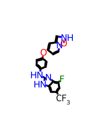 Fc1cc(C(F)(F)F)cc2[nH]c(Nc3ccc(OC4=CC5=CNON5C=C4)cc3)nc12